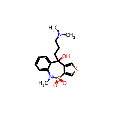 CN(C)CCCC1(O)c2ccccc2N(C)S(=O)(=O)c2cscc21